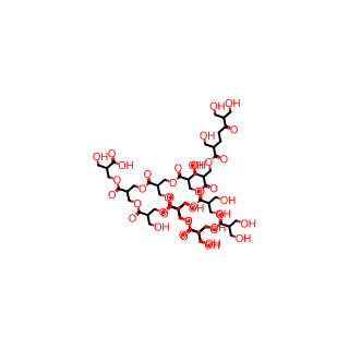 O=C(O)C(CO)COC(=O)C(COC(=O)C(CO)COC(=O)C(CO)COC(=O)C(CO)COC(=O)C(CO)CO)COC(=O)C(COC(=O)C(CO)COC(=O)C(CO)COC(=O)C(CO)CCC(=O)C(CO)CO)COC(=O)C(COC(=O)C(CO)CO)COC(=O)C(CO)CO